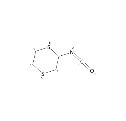 O=C=NC1CSCCS1